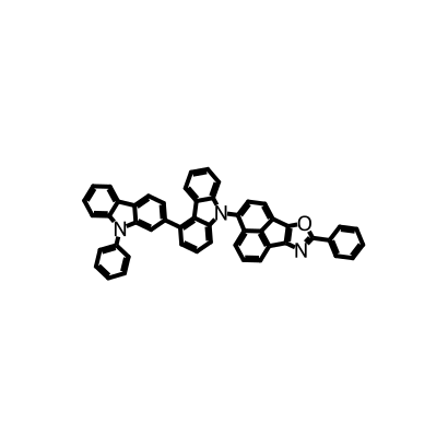 c1ccc(-c2nc3c(o2)-c2ccc(-n4c5ccccc5c5c(-c6ccc7c8ccccc8n(-c8ccccc8)c7c6)cccc54)c4cccc-3c24)cc1